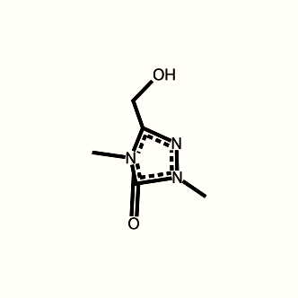 Cn1nc(CO)n(C)c1=O